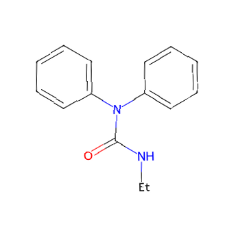 CCNC(=O)N(c1ccccc1)c1ccccc1